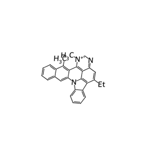 CCc1cc2nc[n+](C)c3c4c(C)c5ccccc5cc4n4c5ccccc5c1c4c23